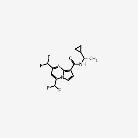 C[C@H](NC(=O)c1ccn2c(C(F)F)cc(C(F)F)nc12)C1CC1